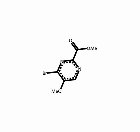 COC(=O)c1ncc(OC)c(Br)n1